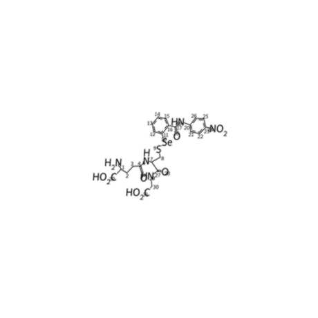 NC(CCC(=O)NC(CS[Se]c1ccccc1C(=O)Nc1ccc([N+](=O)[O-])cc1)C(=O)NCC(=O)O)C(=O)O